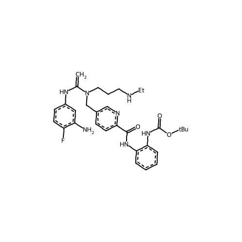 C=C(Nc1ccc(F)c(N)c1)N(CCCNCC)Cc1ccc(C(=O)Nc2ccccc2NC(=O)OC(C)(C)C)nc1